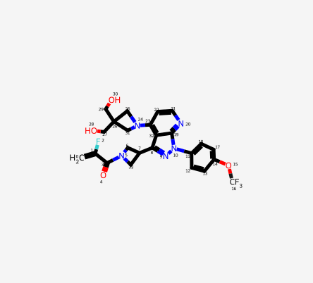 C=C(F)C(=O)N1CC(c2nn(-c3ccc(OC(F)(F)F)cc3)c3nccc(N4CC(CO)(CO)C4)c23)C1